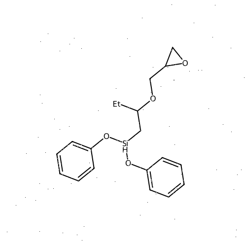 CCC(C[SiH](Oc1ccccc1)Oc1ccccc1)OCC1CO1